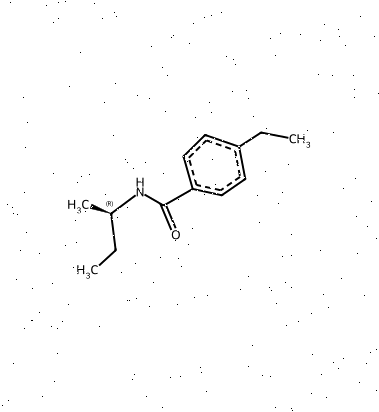 CCc1ccc(C(=O)N[C@H](C)CC)cc1